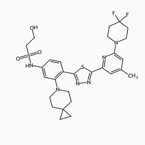 Cc1cc(-c2nnc(-c3ccc(NS(=O)(=O)CCO)cc3N3CCC4(CC3)CC4)s2)nc(N2CCC(F)(F)CC2)c1